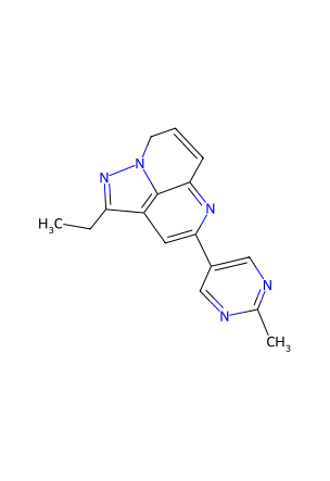 CCc1nn2c3c(nc(-c4cnc(C)nc4)cc13)C=CC2